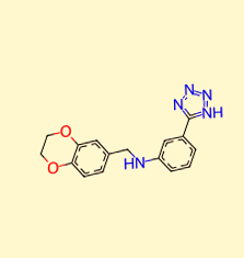 c1cc(NCc2ccc3c(c2)OCCO3)cc(-c2nnn[nH]2)c1